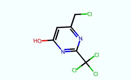 Oc1cc(CCl)nc(C(Cl)(Cl)Cl)n1